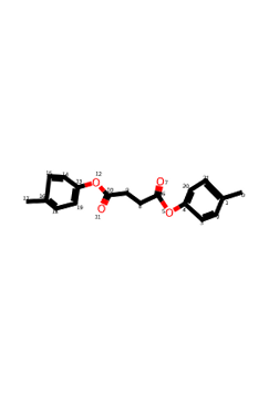 Cc1ccc(OC(=O)CCC(=O)Oc2ccc(C)cc2)cc1